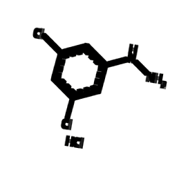 Cl.NNc1cc(Cl)cc(Cl)c1